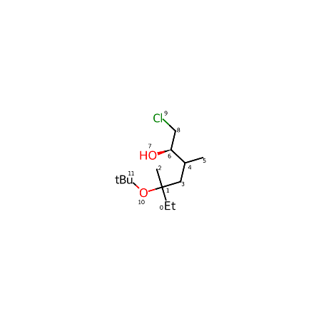 CCC(C)(CC(C)[C@@H](O)CCl)OC(C)(C)C